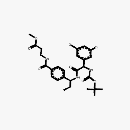 CCC(NC(=O)C(NC(=O)OC(C)(C)C)c1cc(Cl)cc(Cl)c1)c1ccc(C(=O)NCCC(=O)OC)cc1